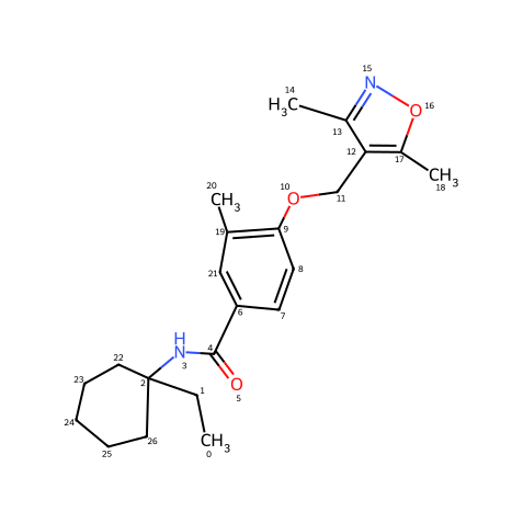 CCC1(NC(=O)c2ccc(OCc3c(C)noc3C)c(C)c2)CCCCC1